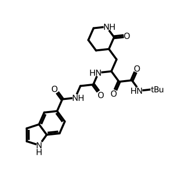 CC(C)(C)NC(=O)C(=O)C(CC1CCCNC1=O)NC(=O)CNC(=O)c1ccc2[nH]ccc2c1